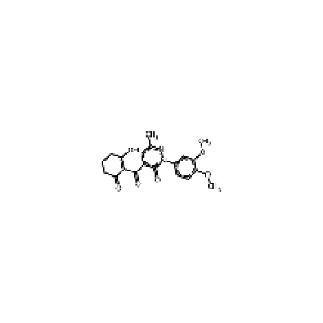 COc1ccc(-n2nc(C)cc(C(=O)C3=C(O)CCCC3=O)c2=O)cc1OC